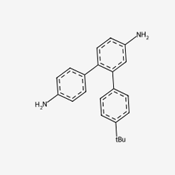 CC(C)(C)c1ccc(-c2cc(N)ccc2-c2ccc(N)cc2)cc1